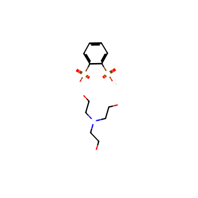 O=S(=O)(O)c1ccccc1S(=O)(=O)O.OCCN(CCO)CCO